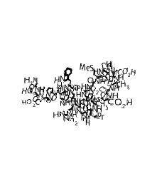 CSCC[C@H](NC(=O)[C@H](CC(=O)O)NC(=O)[C@H](C)NC(=O)[C@H](CC(=O)O)NC(=O)[C@H](C)NC(=O)[C@H](CCSC)NC(=O)CNC(=O)[C@@H](NC(=O)[C@H](C)NC(=O)[C@H](C)NC(=O)[C@H](CC(C)C)NC(=O)[C@@H](NC(=O)[C@H](CCCNC(=N)N)NC(=O)CNC(=O)[C@H](Cc1c[nH]c2ccccc12)NC(=O)[C@H](CC(N)=O)NC(=O)[C@@H]1CCCN1C(=O)[C@H](CC(=O)O)NC(=O)[C@H](CO)NC(=O)CN)C(C)C)C(C)C)C(=O)O